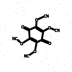 N#COC1=C(OC#N)C(=O)C(OC#N)=C(OC#N)C1=O